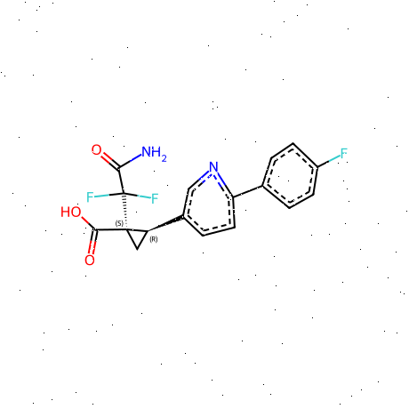 NC(=O)C(F)(F)[C@@]1(C(=O)O)C[C@@H]1c1ccc(-c2ccc(F)cc2)nc1